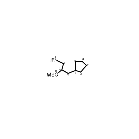 COC(CC(C)C)CC1CCCC1